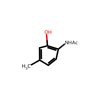 CC(=O)Nc1ccc(C)cc1O